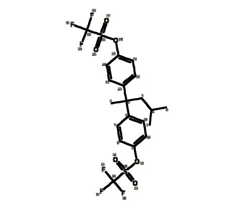 CC(C)CC(C)(c1ccc(OS(=O)(=O)C(F)(F)F)cc1)c1ccc(OS(=O)(=O)C(F)(F)F)cc1